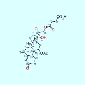 CC(=O)O[C@@H]1C[C@@]2(C)[C@@H](CC[C@]2(O)C(=O)COC(=O)CCC(=O)O)[C@@H]2C[C@H](C)C3=CC(=O)CC[C@]3(C)[C@H]21